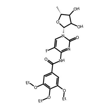 CCOc1cc(C(=O)Nc2nc(=O)n([C@@H]3O[C@H](C)C(O)C3O)cc2F)cc(OCC)c1OCC